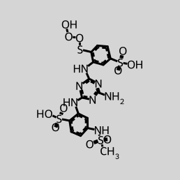 CS(=O)(=O)Nc1ccc(S(=O)(=O)O)c(Nc2nc(N)nc(Nc3cc(S(=O)(=O)O)ccc3SOOO)n2)c1